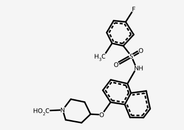 Cc1ccc(F)cc1S(=O)(=O)Nc1ccc(OC2CCN(C(=O)O)CC2)c2ccccc12